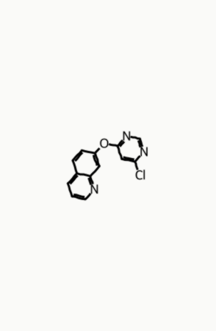 Clc1cc(Oc2ccc3cccnc3c2)ncn1